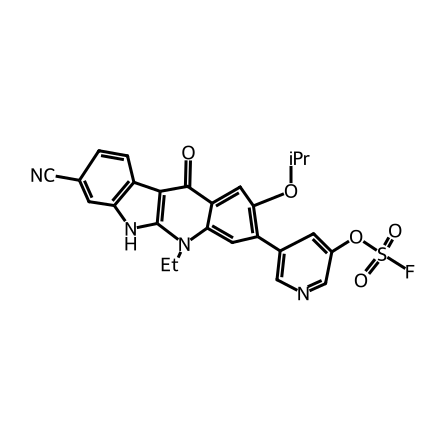 CCn1c2cc(-c3cncc(OS(=O)(=O)F)c3)c(OC(C)C)cc2c(=O)c2c3ccc(C#N)cc3[nH]c21